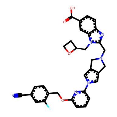 N#Cc1ccc(COc2cccc(-n3cc4c(c3)CN(Cc3nc5ccc(C(=O)O)cc5n3C[C@@H]3CCO3)C4)n2)c(F)c1